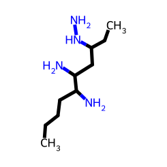 CCCCC(N)C(N)CC(CC)NN